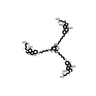 C[C@H](CCC(=O)O)[C@H]1CC[C@H]2[C@H]3C(C[C@H](O)[C@]12C)[C@@]1(C)CCC(CCCCCCCNC(=O)C2(C)CC(C)(C(=O)NCCCCCCO[C@H]4CC[C@@]5(C)[C@@H](C4)C[C@@H](O)[C@@H]4[C@@H]5C[C@H](O)[C@]5(C)[C@@H]([C@H](C)CCC(=O)O)CC[C@@H]45)CC(C)(C(=O)NCCCCCCO[C@H]4CC[C@]5(C)C6C[C@H](O)[C@]7(C)[C@@H]([C@H](C)CCC(=O)O)CC[C@H]7[C@@H]6CC[C@@H]5C4)C2)C[C@H]1C[C@H]3O